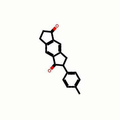 Cc1ccc(C2Cc3cc4c(cc3C2=O)CCC4=O)cc1